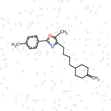 C=C1CCC(CCCCc2nc(-c3ccc(C)cc3)oc2C)CC1